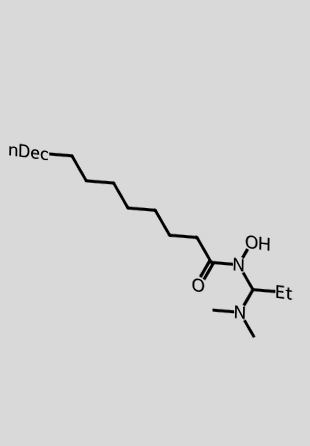 CCCCCCCCCCCCCCCCCC(=O)N(O)C(CC)N(C)C